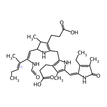 CC/C=C(\C)C(=CC1NC(Cc2[nH]c(C=C3NC(=O)C(C)=C3CC)c(C)c2CCC(=O)O)=C(CCC(=O)O)C1C)NC=O